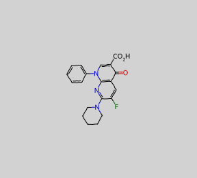 O=C(O)c1cn(-c2ccccc2)c2nc(N3CCCCC3)c(F)cc2c1=O